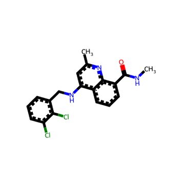 CNC(=O)c1cccc2c(NCc3cccc(Cl)c3Cl)cc(C)nc12